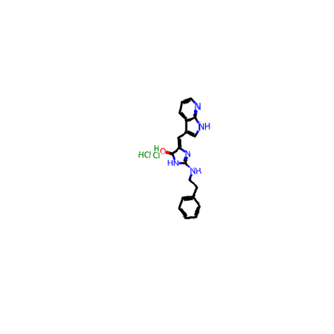 Cl.Cl.O=C1NC(NCCc2ccccc2)=N/C1=C\c1c[nH]c2ncccc12